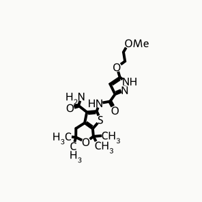 COCCOc1cc(C(=O)Nc2sc3c(c2C(N)=O)CC(C)(C)OC3(C)C)n[nH]1